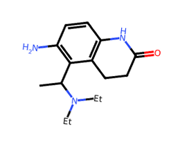 CCN(CC)C(C)c1c(N)ccc2c1CCC(=O)N2